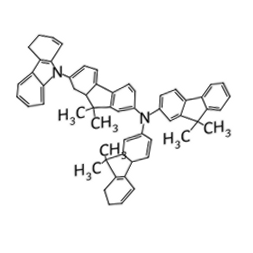 CC1(C)c2ccccc2-c2ccc(N(C3=CC4C(C=C3)C3=C(CCC=C3)C4(C)C)c3ccc4c(c3)C(C)(C)C3CC(n5c6c(c7ccccc75)CCC=C6)=CC=C43)cc21